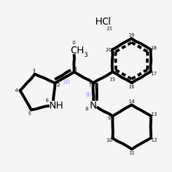 CC(=C1\CCCN1)/C(=N/C1CCCCC1)c1ccccc1.Cl